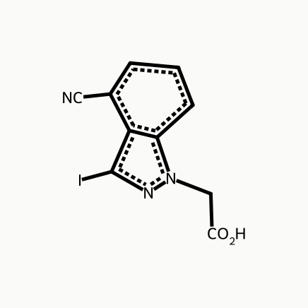 N#Cc1cccc2c1c(I)nn2CC(=O)O